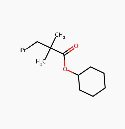 CC(C)CC(C)(C)C(=O)OC1CCCCC1